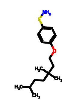 CC(C)CCC(C)(C)CCOc1ccc(SN)cc1